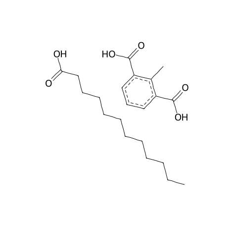 CCCCCCCCCCCC(=O)O.Cc1c(C(=O)O)cccc1C(=O)O